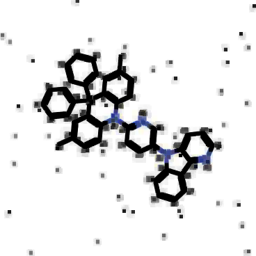 Cc1ccc2c(c1)[Si](c1ccccc1)(c1ccccc1)c1cc(C)ccc1N2c1ccc(-n2c3ccccc3c3ncccc32)cn1